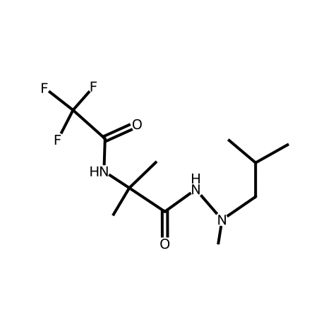 CC(C)CN(C)NC(=O)C(C)(C)NC(=O)C(F)(F)F